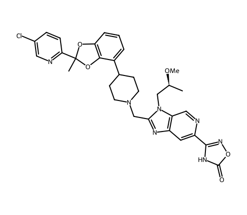 CO[C@@H](C)Cn1c(CN2CCC(c3cccc4c3OC(C)(c3ccc(Cl)cn3)O4)CC2)nc2cc(-c3noc(=O)[nH]3)ncc21